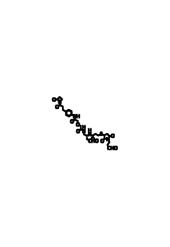 O=CCCN1C(=O)CC(SCCC(=O)N[C@@H](CC=O)CNC(=O)COCC(=O)Nc2ccc(CCC(=O)N3CCC3=O)cc2)C1=O